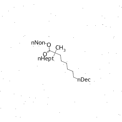 CCCCCCCCCCCCCCCCC(C)(CCCCCCC)C(=O)OCCCCCCCCC